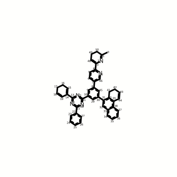 CC1=NC(c2ccc(-c3cc(-c4nc(C5=CCCC=C5)nc(-c5ccccc5)n4)cc(-c4cc5ccccc5c5c4CCC=C5)c3)cn2)=CCC1